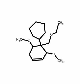 CCOCC1(C2CCCCC2)[C](OC)CC=CC1OC